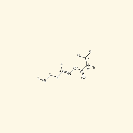 CSCC/C(C)=N/OC(=O)N(C)C(C)C